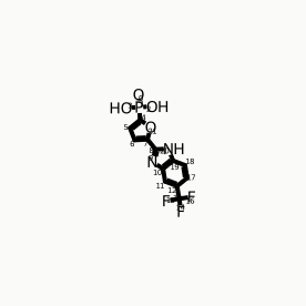 O=P(O)(O)c1ccc(-c2nc3cc(C(F)(F)F)ccc3[nH]2)o1